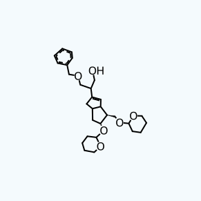 OCC(COCc1ccccc1)C1=CC2C(C1)C[C@@H](OC1CCCCO1)[C@@H]2COC1CCCCO1